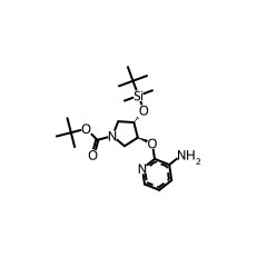 CC(C)(C)OC(=O)N1C[C@H](Oc2ncccc2N)[C@@H](O[Si](C)(C)C(C)(C)C)C1